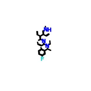 C=CC(=C(C)/N=C(\C=C/C)N(CC)C(C)c1cc(F)ccc1C)/C(C=C)=C/NC